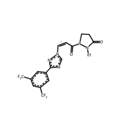 CCN1C(=O)CCN1C(=O)/C=C\n1cnc(-c2cc(C(F)(F)F)cc(C(F)(F)F)c2)n1